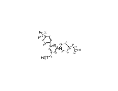 NCc1cc(-c2ccc(C(F)(F)F)cc2)nc(N2CCN(CC3CC3)CC2)c1